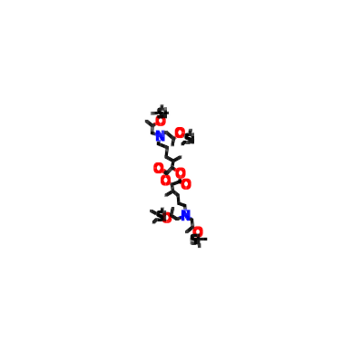 CC(CN(CCCC(C)C1OC(=O)C(C(C)CCCN(CC(C)O[Si](C)(C)C)CC(C)O[Si](C)(C)C)OC1=O)CC(C)O[Si](C)(C)C)O[Si](C)(C)C